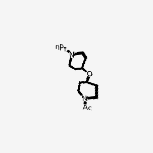 CCCN1CCC(OC2CCN(C(C)=O)CC2)CC1